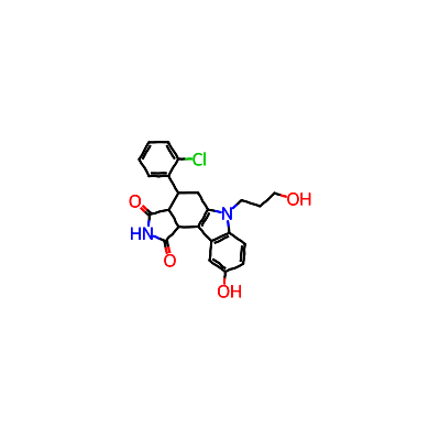 O=C1NC(=O)C2C(c3ccccc3Cl)Cc3c(c4cc(O)ccc4n3CCCO)C12